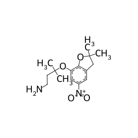 CC(C)(CCN)Oc1cc([N+](=O)[O-])cc2c1OC(C)(C)C2